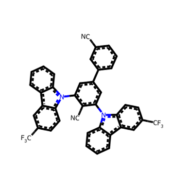 N#Cc1cccc(-c2cc(-n3c4ccccc4c4cc(C(F)(F)F)ccc43)c(C#N)c(-n3c4ccccc4c4cc(C(F)(F)F)ccc43)c2)c1